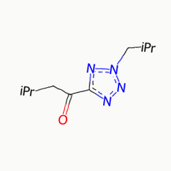 CC(C)CC(=O)c1nnn(CC(C)C)n1